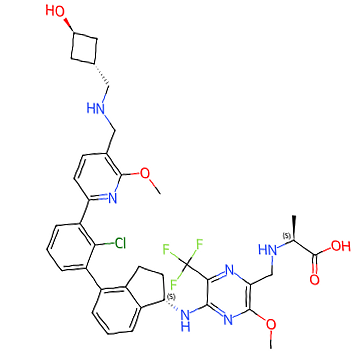 COc1nc(-c2cccc(-c3cccc4c3CC[C@@H]4Nc3nc(OC)c(CN[C@@H](C)C(=O)O)nc3C(F)(F)F)c2Cl)ccc1CNC[C@H]1C[C@H](O)C1